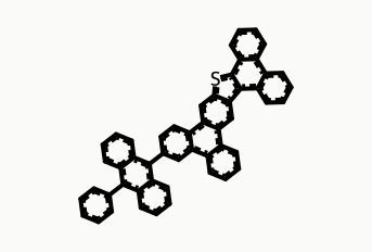 c1ccc(-c2c3ccccc3c(-c3ccc4c(c3)c3ccccc3c3cc5c(cc43)sc3c4ccccc4c4ccccc4c53)c3ccccc23)cc1